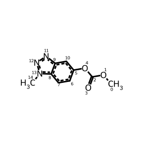 COC(=O)Oc1ccc2c(c1)nnn2C